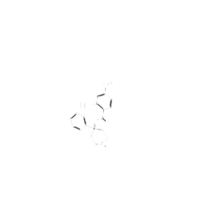 COc1ccc(C(=O)OC2(c3ccccc3)CCNCC2)c(O)c1